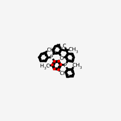 Cc1ccccc1P(c1ccccc1C)c1cccc2c1Oc1c(P(c3ccccc3C)c3ccccc3C)cccc1C2(C)C